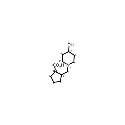 O=C(O)N1CCCC1CN1CCC(O)CC1